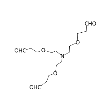 O=CCCOCCN(CCOCCC=O)CCOCCC=O